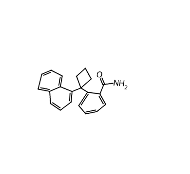 NC(=O)c1ccccc1C1(c2cccc3ccccc23)CCC1